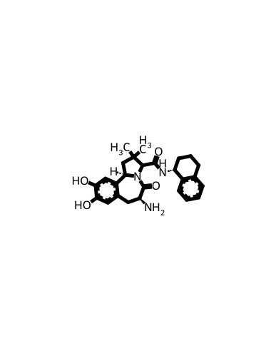 CC1(C)C[C@@H]2c3cc(O)c(O)cc3C[C@H](N)C(=O)N2C1C(=O)N[C@@H]1CCCc2ccccc21